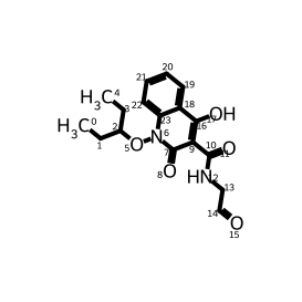 CCC(CC)On1c(=O)c(C(=O)NCC=O)c(O)c2ccccc21